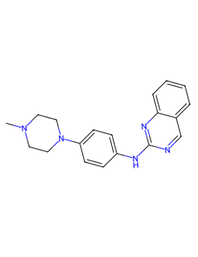 CN1CCN(c2ccc(Nc3ncc4ccccc4n3)cc2)CC1